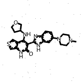 CN1CCN(c2ccc3nc(-c4c(NC5CCOC5)c5cscc5[nH]c4=O)[nH]c3c2)CC1